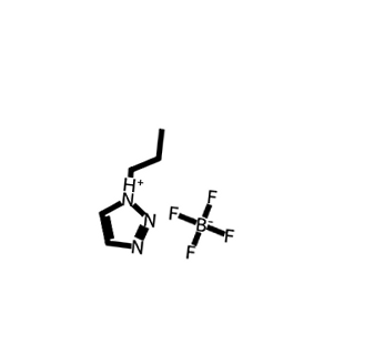 CCC[NH+]1C=CN=N1.F[B-](F)(F)F